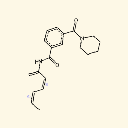 C=C(/C=C\C=C/C)NC(=O)c1cccc(C(=O)N2CCCCC2)c1